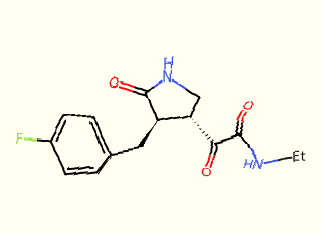 CCNC(=O)C(=O)[C@H]1CNC(=O)[C@@H]1Cc1ccc(F)cc1